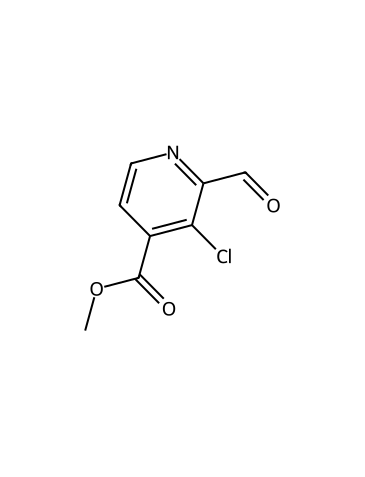 COC(=O)c1ccnc(C=O)c1Cl